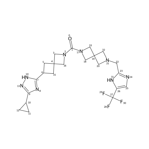 O=C(N1CC2(CC(c3nc(C4CC4)n[nH]3)C2)C1)N1CC2(CN(Cc3ncc(C(F)(F)F)[nH]3)C2)C1